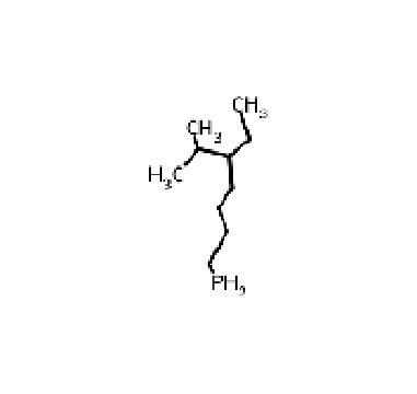 CCC(CCCCP)C(C)C